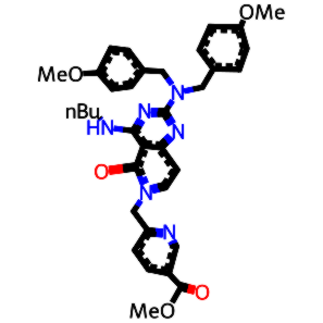 CCCCNc1nc(N(Cc2ccc(OC)cc2)Cc2ccc(OC)cc2)nc2ccn(Cc3ccc(C(=O)OC)cn3)c(=O)c12